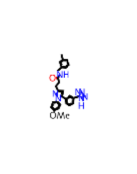 COc1ccc(-n2nc(CCC(=O)NCc3cccc(C)c3)cc2-c2cccc(-c3nnn[nH]3)c2)cc1